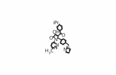 Cc1ccc(N2C(=O)C(O)=C(C(=O)c3ccc(C(C)C)cc3)C2c2ccc(Cn3cccn3)cc2)nn1